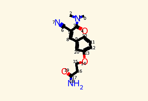 CN(C)C(=O)C(C#N)=Cc1cccc(OCCC(N)=O)c1